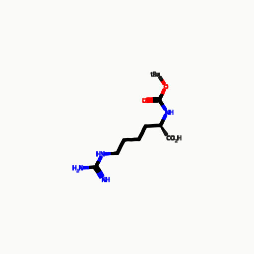 CC(C)(C)OC(=O)N[C@H](CCCCNC(=N)N)C(=O)O